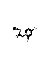 CC(C)(C)OC(=O)Cn1ccc(Br)cc1=O